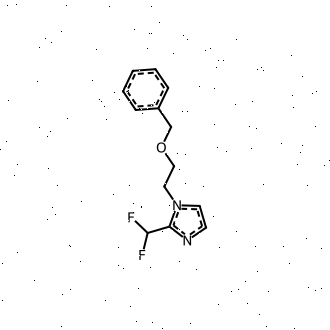 FC(F)c1nccn1CCOCc1ccccc1